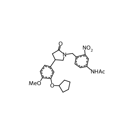 COc1ccc(C2CC(=O)N(Cc3ccc(NC(C)=O)cc3[N+](=O)[O-])C2)cc1OC1CCCC1